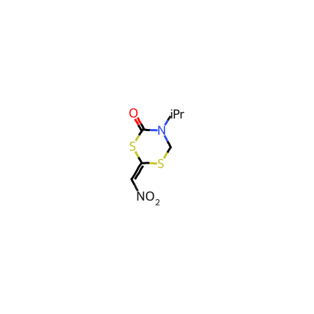 CC(C)N1CS/C(=C\[N+](=O)[O-])SC1=O